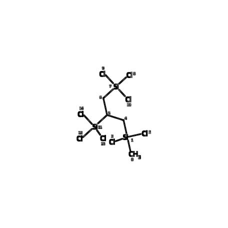 C[Si](Cl)(Cl)CC(C[Si](Cl)(Cl)Cl)[Si](Cl)(Cl)Cl